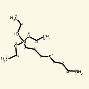 CCO[Si](CCCSCCCN)(OCC)OCC